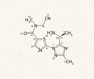 Cc1nc([C@H](C)N)n(-c2ncc(C(=O)N(C)CC#N)s2)n1